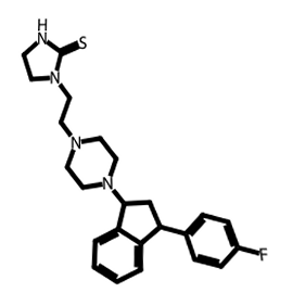 Fc1ccc(C2CC(N3CCN(CCN4CCNC4=S)CC3)c3ccccc32)cc1